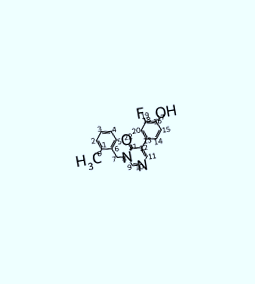 Cc1ccccc1Cn1cncc(-c2ccc(O)c(F)c2)c1=O